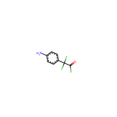 Nc1ccc(C(F)(F)C(=O)F)cc1